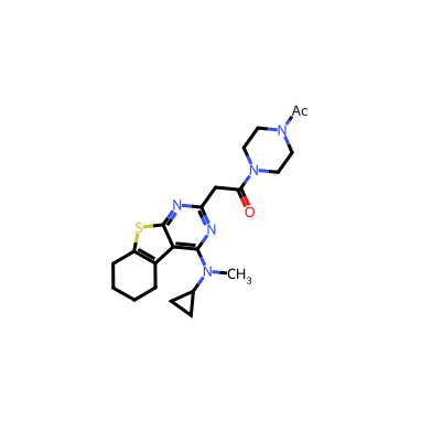 CC(=O)N1CCN(C(=O)Cc2nc(N(C)C3CC3)c3c4c(sc3n2)CCCC4)CC1